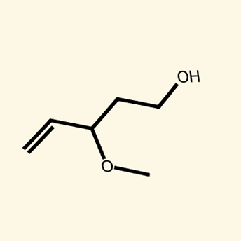 C=CC(CCO)OC